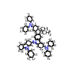 CC1(C)c2ccc(N(c3ccccc3)c3ccccc3)cc2-c2cc3c(cc21)c1cc(N(c2ccccc2)c2ccccc2)ccc1n3-c1ccc2c3ccccc3n(-c3ccccc3)c2c1